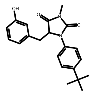 CN1C(=O)C(Cc2cccc(O)c2)N(c2ccc(C(C)(C)C)cc2)C1=O